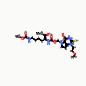 COC(=O)[C@H](CCCCNC(=O)OC(C)(C)C)NC(=O)OCn1ccc2c1c(=O)[nH]c(=S)n2CCOC(C)C